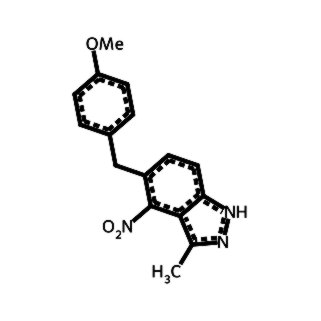 COc1ccc(Cc2ccc3[nH]nc(C)c3c2[N+](=O)[O-])cc1